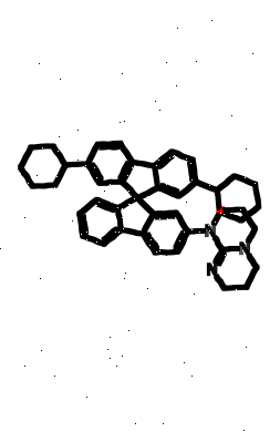 c1ccc2c(c1)-c1ccc(N3CCCN4CCCN=C43)cc1C21c2cc(C3CCCCC3)ccc2-c2ccc(C3CCCCC3)cc21